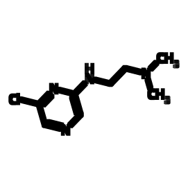 CN(C)CCNc1cncc(Cl)n1